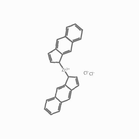 C1=C[CH]([Zr+2][CH]2C=Cc3cc4ccccc4cc32)c2cc3ccccc3cc21.[Cl-].[Cl-]